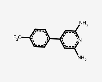 Nc1cc(-c2ccc(C(F)(F)F)cc2)cc(N)n1